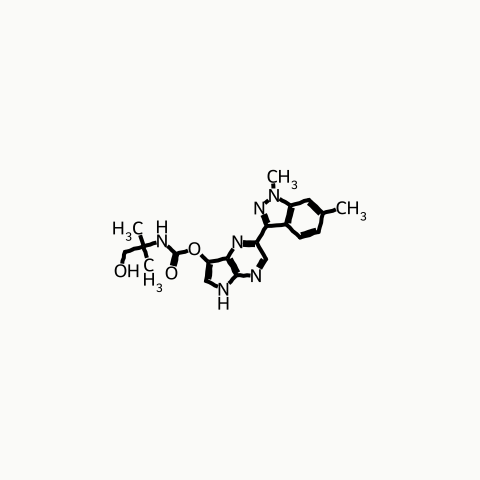 Cc1ccc2c(-c3cnc4[nH]cc(OC(=O)NC(C)(C)CO)c4n3)nn(C)c2c1